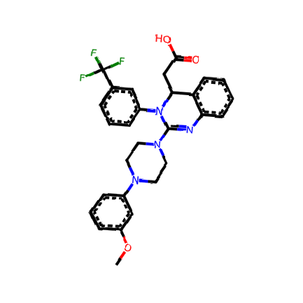 COc1cccc(N2CCN(C3=Nc4ccccc4C(CC(=O)O)N3c3cccc(C(F)(F)F)c3)CC2)c1